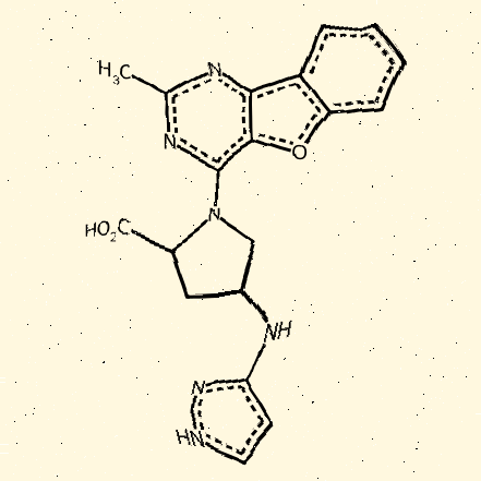 Cc1nc(N2CC(Nc3cc[nH]n3)CC2C(=O)O)c2oc3ccccc3c2n1